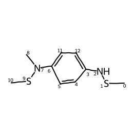 CSNc1ccc(N(C)SC)cc1